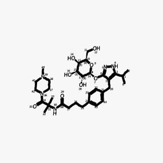 CC(C)c1[nH]nc(O[C@@H]2O[C@H](CO)[C@H](O)[C@H](O)[C@H]2O)c1Cc1ccc(CCCC(=O)NC(C)(C)C(=O)N2CCN(C)CC2)cc1